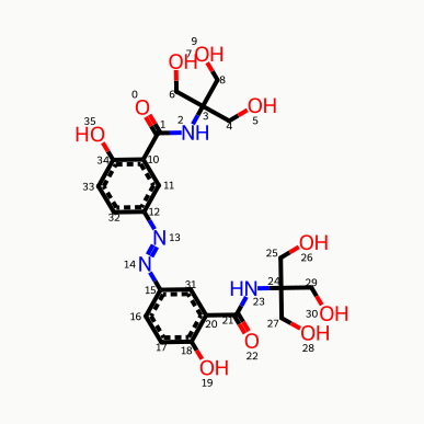 O=C(NC(CO)(CO)CO)c1cc(N=Nc2ccc(O)c(C(=O)NC(CO)(CO)CO)c2)ccc1O